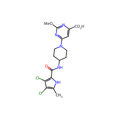 COc1nc(C(=O)O)cc(N2CCC(NC(=O)c3[nH]c(C)c(Cl)c3Cl)CC2)n1